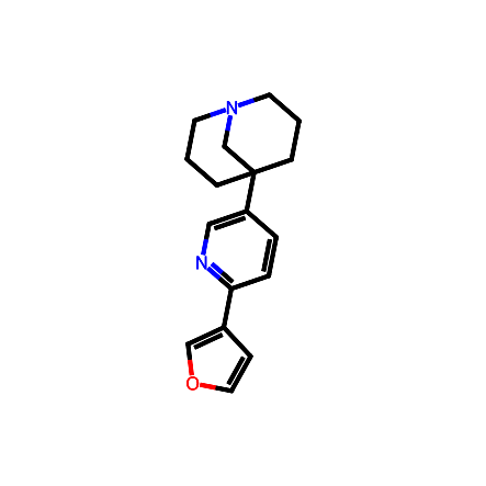 c1cc(-c2ccc(C34CCCN(CCC3)C4)cn2)co1